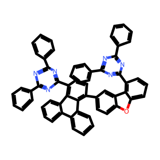 c1ccc(-c2nc(-c3ccccc3)nc(-c3cccc4oc5ccc(-c6ccc(-c7nc(-c8ccccc8)nc(-c8ccccc8)n7)c7c8ccccc8c8ccccc8c67)cc5c34)n2)cc1